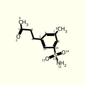 CC(=O)CCc1cc(C)cc(S(N)(=O)=O)c1